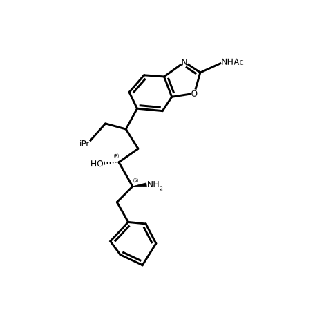 CC(=O)Nc1nc2ccc(C(CC(C)C)C[C@@H](O)[C@@H](N)Cc3ccccc3)cc2o1